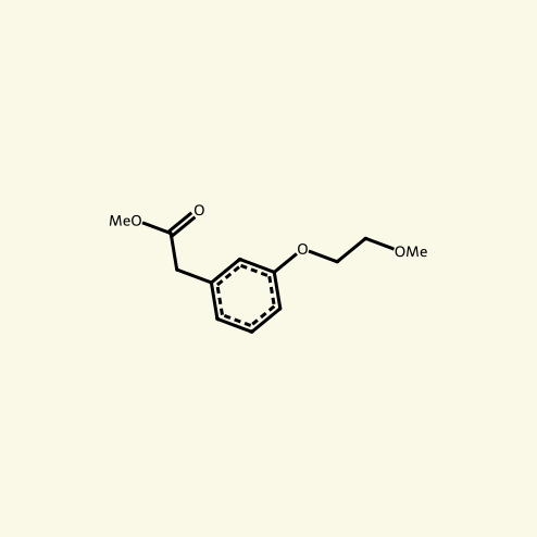 COCCOc1cccc(CC(=O)OC)c1